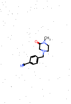 CN1CCN(Cc2ccc(C#N)cc2)CC1=O